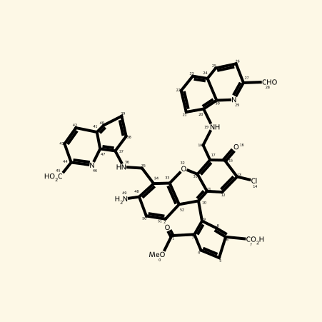 COC(=O)c1ccc(C(=O)O)cc1-c1c2cc(Cl)c(=O)c(CNc3cccc4ccc(C=O)nc34)c-2oc2c(CNc3cccc4ccc(C(=O)O)nc34)c(N)ccc12